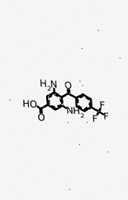 Nc1cc(C(=O)O)cc(N)c1C(=O)c1ccc(C(F)(F)F)cc1